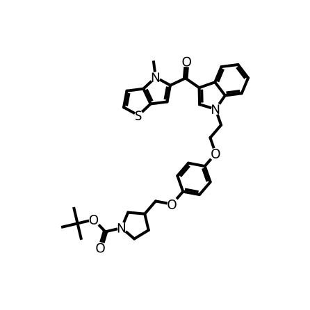 Cn1c(C(=O)c2cn(CCOc3ccc(OCC4CCN(C(=O)OC(C)(C)C)C4)cc3)c3ccccc23)cc2sccc21